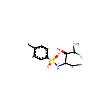 Cc1ccc(S(=O)(=O)NC(CC(C)C)C(=O)C(Cl)C=O)cc1